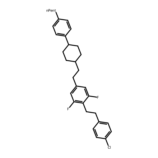 CCCCCc1ccc(C2CCC(CCc3cc(F)c(CCc4ccc(Cl)cc4)c(F)c3)CC2)cc1